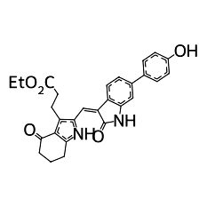 CCOC(=O)CCc1c(/C=C2\C(=O)Nc3cc(-c4ccc(O)cc4)ccc32)[nH]c2c1C(=O)CCC2